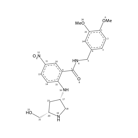 COc1ccc(CNC(=O)c2cc([N+](=O)[O-])ccc2N[C@@H]2CN[C@H](CO)C2)cc1OC